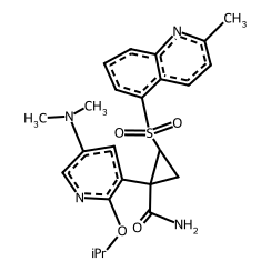 Cc1ccc2c(S(=O)(=O)C3CC3(C(N)=O)c3cc(N(C)C)cnc3OC(C)C)cccc2n1